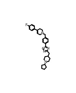 Fc1ccc(C2=CCN(Cc3ccc(-c4nc(CC5CCN(C6CCCC6)CC5)no4)cc3)CC2)cc1